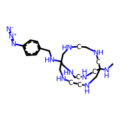 CNC12CNCCNCC(NCc3ccc(N=[N+]=[N-])cc3)(CNCCNC1)CNCCNC2